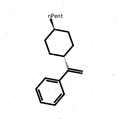 C=C(c1ccccc1)[C@H]1CC[C@H](CCCCC)CC1